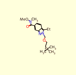 CCc1c2ccc(C(=O)N(C)OC)cc2nn1COCC[Si](C)(C)C